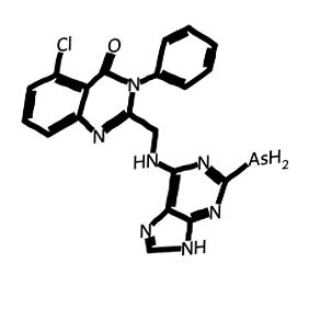 O=c1c2c(Cl)cccc2nc(CNc2nc([AsH2])nc3[nH]cnc23)n1-c1ccccc1